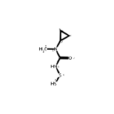 CN(C(=O)NSS)C1CC1